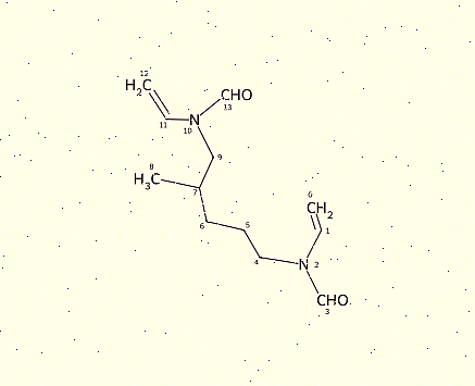 C=CN(C=O)CCCC(C)CN(C=C)C=O